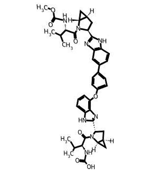 COC(=O)N[C@H](C(=O)N1[C@@H]2C[C@H]2C[C@H]1c1nc2cc(-c3ccc(Oc4cccc5[nH]c([C@@H]6C[C@H]7C[C@H]7N6C(=O)[C@@H](NC(=O)O)C(C)C)nc45)cc3)ccc2[nH]1)C(C)C